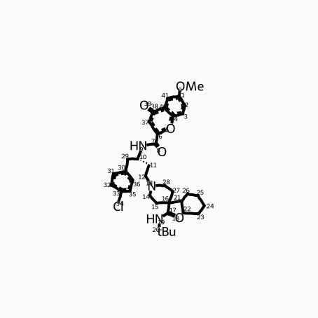 COc1ccc2oc(C(=O)N[C@H](CCN3CCC(C(=O)NC(C)(C)C)(C4CCCCC4)CC3)Cc3ccc(Cl)cc3)cc(=O)c2c1